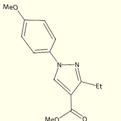 CCc1nn(-c2ccc(OC)cc2)cc1C(=O)OC